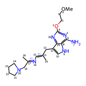 COCCOc1nc(N)c2[nH]cc(C/C(C)=C/N=C(\C)CN3CCCC3)c2n1